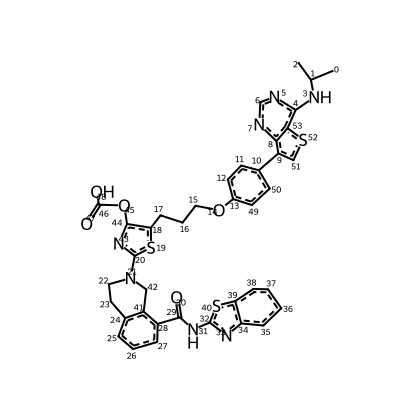 CC(C)Nc1ncnc2c(-c3ccc(OCCCc4sc(N5CCc6cccc(C(=O)Nc7nc8ccccc8s7)c6C5)nc4OC(=O)O)cc3)csc12